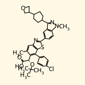 Cc1cc2nc(-c3ccc4c(c3)c(C3CCC(C5COC5)CC3)nn4C)sc2c(-c2ccc(Cl)cc2)c1[C@H](OC(C)(C)C)C(=O)O